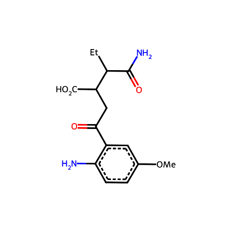 CCC(C(N)=O)C(CC(=O)c1cc(OC)ccc1N)C(=O)O